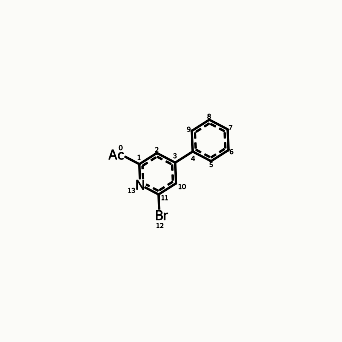 CC(=O)c1cc(-c2ccccc2)cc(Br)n1